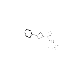 CB(O)NCC(=O)C1CC(c2ccccc2)C1